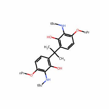 CCCOc1ccc(C(C)(C)c2ccc(OCCC)c(NC(C)(C)C)c2O)c(O)c1NC(C)(C)C